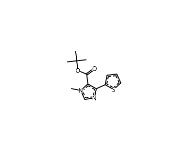 Cn1cnc(-c2cccs2)c1C(=O)OC(C)(C)C